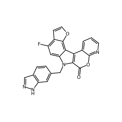 O=c1oc2ncccc2c2c3c4occc4c(F)cc3n(Cc3ccc4cn[nH]c4c3)c12